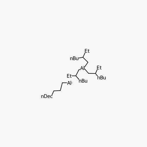 CCCCC(CC)[CH2][Al]([CH2]C(CC)CCCC)[CH2]C(CC)CCCC.CCCCCCCCCCCC[CH2][Al]